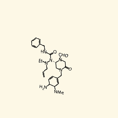 C=CCN(CC)N(C(=O)NCc1ccccc1)[C@H]1CN(CC2=CC(NC)C(N)C=C2)C(=O)CN1C=O